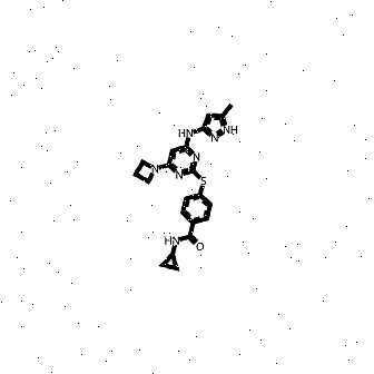 Cc1cc(Nc2cc(N3CCC3)nc(Sc3ccc(C(=O)NC4CC4)cc3)n2)n[nH]1